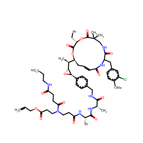 C=CCOC(=O)CCN(CCC(=O)N[C@H](C(=O)N[C@@H](C)C(=O)NCc1ccc([C@H]2O[C@@H]2[C@@H](C)[C@@H]2C/C=C/C(=O)NC(Cc3ccc(OC)c(Cl)c3)C(=O)NCC(C)(C)C(=O)O[C@@H](CC(C)C)C(=O)O2)cc1)C(C)C)C(=O)CCC(=O)NCCS(=O)(=O)O